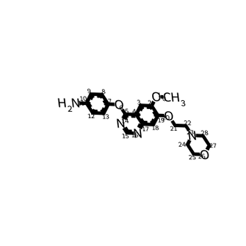 COc1cc2c(Oc3ccc(N)cc3)ncnc2cc1OCCN1CCOCC1